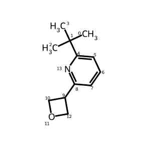 CC(C)(C)c1cccc(C2COC2)n1